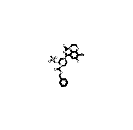 CS(=O)(=O)C[C@@H]1CN(c2nc(=O)n3c4c(c(Br)c(Cl)cc24)SCC3)CCN1C(=O)OCc1ccccc1